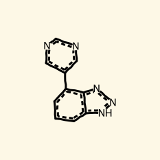 c1cc(-c2cncnc2)c2nn[nH]c2c1